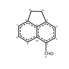 O=Cc1ccc2c3c(cccc13)CC2